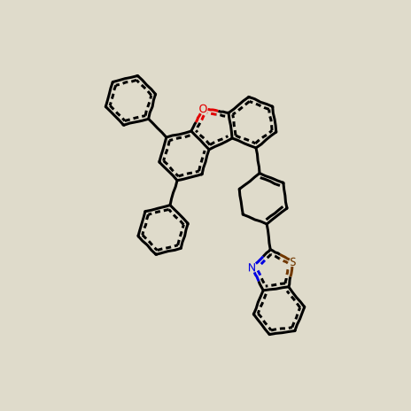 C1=C(c2nc3ccccc3s2)CCC(c2cccc3oc4c(-c5ccccc5)cc(-c5ccccc5)cc4c23)=C1